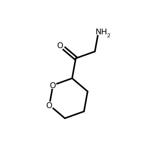 NCC(=O)C1CCCOO1